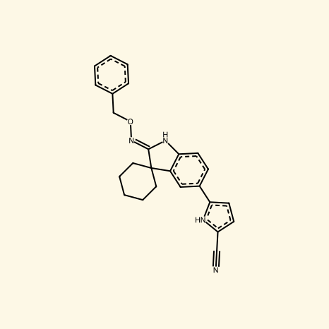 N#Cc1ccc(-c2ccc3c(c2)C2(CCCCC2)C(=NOCc2ccccc2)N3)[nH]1